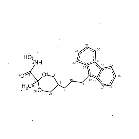 CC1(C(=O)NO)OCC(CCCn2c3ccccc3c3ccccc32)CO1